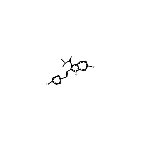 CN(C)C(=O)c1c(/C=C/c2ccc(Cl)cc2)[nH]c2cc(Br)ccc12